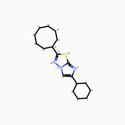 c1c(C2CCCCC2)nc2sc(C3CCCCCCC3)nn12